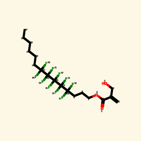 C=C(CO)C(=O)OCCCC(F)(F)C(F)(F)C(F)(F)C(F)(F)C(F)(F)CCCCCC